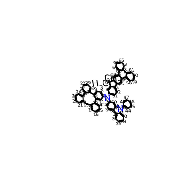 CC1(C)c2cc(N(c3ccc4c(c3)-c3ccccc3Cc3ccccc3-c3ccccc3-4)c3ccc4c5ccccc5n(-c5ccccc5)c4c3)ccc2-c2cc3c4ccccc4c4ccccc4c3cc21